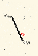 CCCCCC=CCC=CCC=CC=C[C@@H](O)CCCC(=O)O